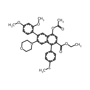 CCOC(=O)c1cc(OC(C)=O)c2cc(-c3ccc(OC)cc3OC)c(N3CCOCC3)cc2c1-c1ccc(SC)cc1